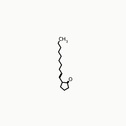 CCCCCCCCC=CC1CCCC1=O